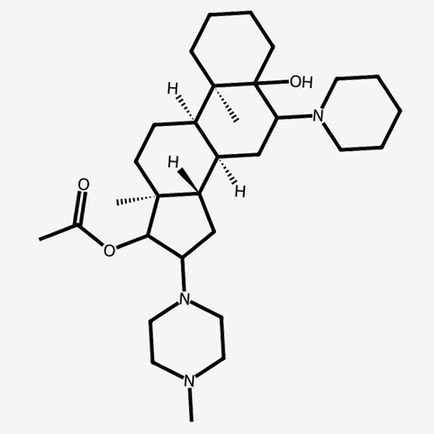 CC(=O)OC1C(N2CCN(C)CC2)C[C@H]2[C@@H]3CC(N4CCCCC4)C4(O)CCCC[C@]4(C)[C@@H]3CC[C@]12C